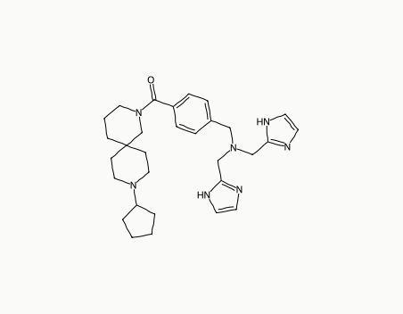 O=C(c1ccc(CN(Cc2ncc[nH]2)Cc2ncc[nH]2)cc1)N1CCCC2(CCN(C3CCCC3)CC2)C1